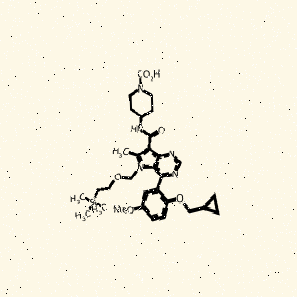 COc1ccc(OCC2CC2)c(-c2ncnc3c(C(=O)NC4CCN(C(=O)O)CC4)c(C)n(COCC[Si](C)(C)C)c23)c1